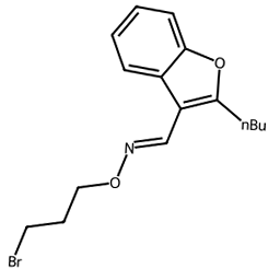 CCCCc1oc2ccccc2c1C=NOCCCBr